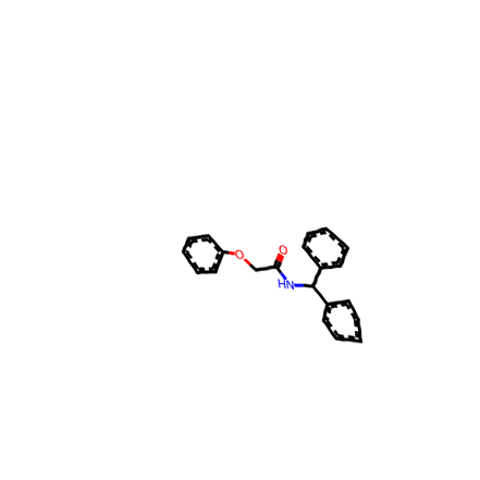 O=C(COc1ccccc1)NC(c1ccccc1)c1ccccc1